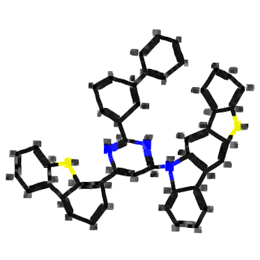 c1ccc(-c2cccc(-c3nc(-c4cccc5c4sc4ccccc45)cc(-n4c5ccccc5c5cc6sc7ccccc7c6cc54)n3)c2)cc1